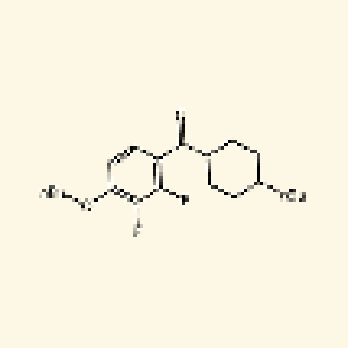 CCCCOc1ccc(C(=O)C2CCC(CCCC)CC2)c(F)c1F